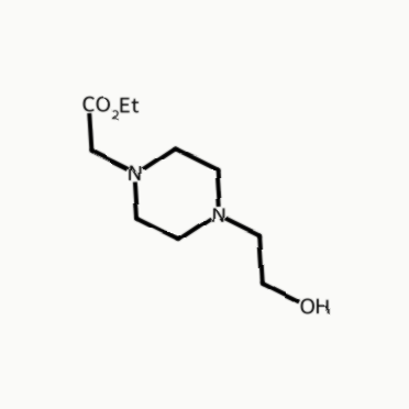 CCOC(=O)CN1CCN(CCO)CC1